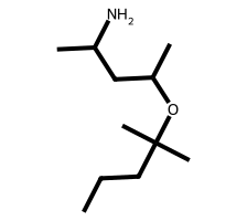 CCCC(C)(C)OC(C)CC(C)N